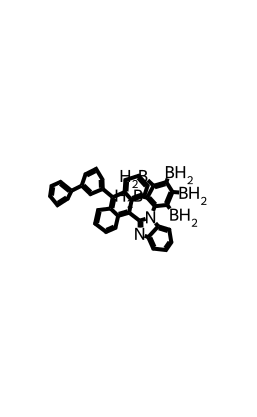 Bc1c(B)c(B)c(-n2c(-c3c4ccccc4c(-c4cccc(-c5ccccc5)c4)c4ccccc34)nc3ccccc32)c(B)c1B